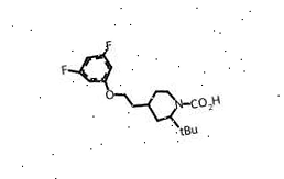 CC(C)(C)C1CC(CCOc2cc(F)cc(F)c2)CCN1C(=O)O